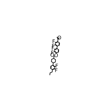 CCCc1ccc(C2CCC(C(=O)Oc3ccc(-c4ccc(C5CO5)c(F)c4F)c(F)c3F)CC2)c(F)c1F